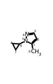 Cc1[c]cnn1C1CC1